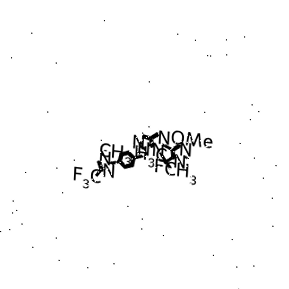 COc1ncnc(C(C)(C)F)c1-c1ncc2cnn(Cc3ccc(-c4nc(C(F)(F)F)cn4C)cc3)c2n1